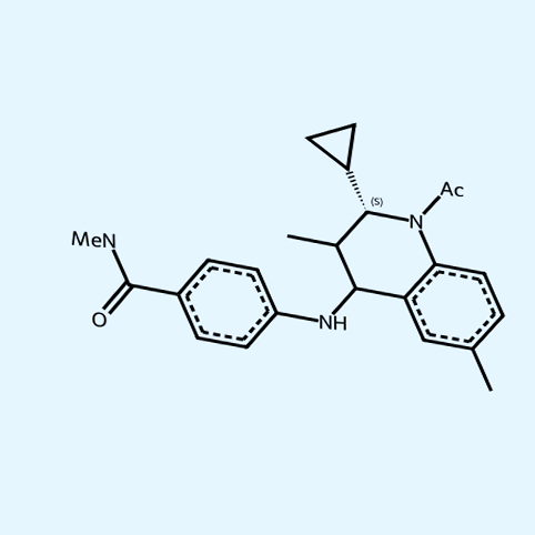 CNC(=O)c1ccc(NC2c3cc(C)ccc3N(C(C)=O)[C@@H](C3CC3)C2C)cc1